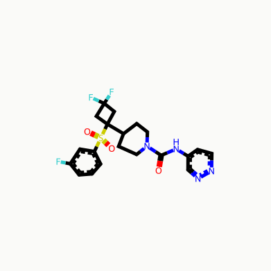 O=C(Nc1ccnnc1)N1CCC(C2(S(=O)(=O)c3cccc(F)c3)CC(F)(F)C2)CC1